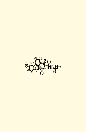 COc1ccc(CN2C(=O)CC(C(=O)NNC(C)=O)=C(Br)c3ccccc32)cc1